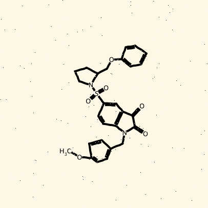 COc1ccc(CN2C(=O)C(=O)c3cc(S(=O)(=O)N4CCCC4COc4ccccc4)ccc32)cc1